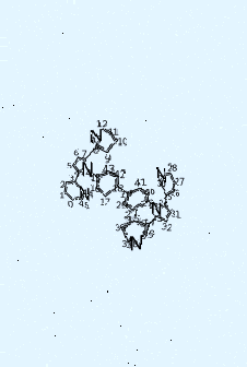 c1ccc(-c2ccc(-c3ccccn3)n2-c2ccc(-c3ccc(-n4c(-c5cccnc5)ccc4-c4cccnc4)cc3)cc2)nc1